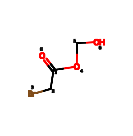 O=C(CBr)OCO